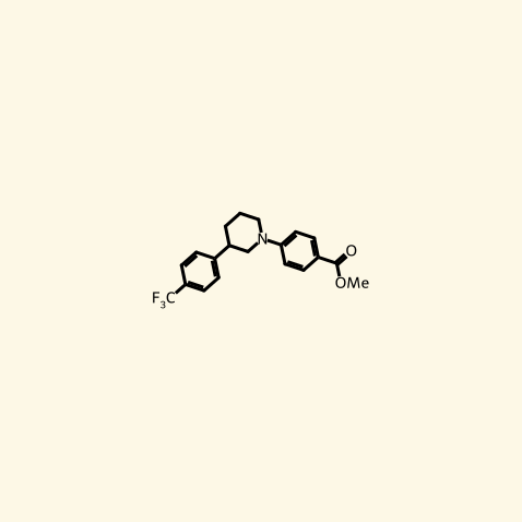 COC(=O)c1ccc(N2CCCC(c3ccc(C(F)(F)F)cc3)C2)cc1